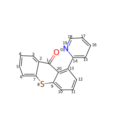 O=c1c2ccccc2sc2cccc(-c3ccccn3)c12